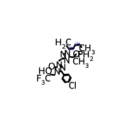 C=C/C(=C\C=C/C)n1nc(Cn2nc(-c3ccc(Cl)cc3)n(CC(O)C(F)(F)F)c2=O)nc1C(C)OP